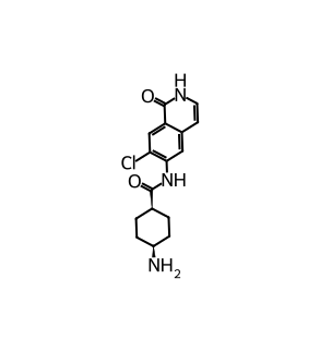 N[C@H]1CC[C@@H](C(=O)Nc2cc3cc[nH]c(=O)c3cc2Cl)CC1